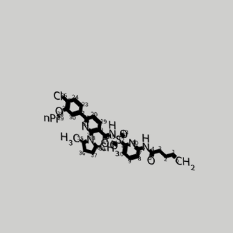 C=CCCC(=O)Nc1cccc(S(=O)(=O)NC(=O)c2ccc(-c3ccc(Cl)c(OCCC)c3)nc2N2[C@H](C)CC[C@@H]2C)n1